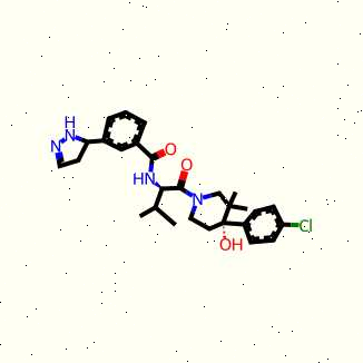 CC(C)[C@@H](NC(=O)c1cccc(C2CC=NN2)c1)C(=O)N1CC[C@](O)(c2ccc(Cl)cc2)C(C)(C)C1